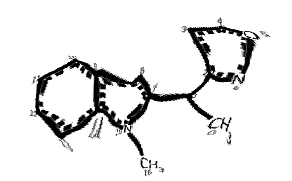 CC(c1ccon1)c1cc2ccccc2n1C